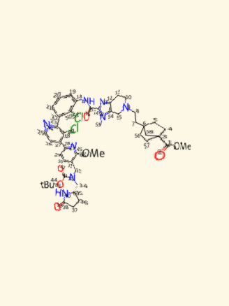 COC(=O)C12CCC(CCN3CCc4nc(C(=O)Nc5cccc(-c6nccc(-c7ccc(CN(C[C@@H]8CCC(=O)N8)C(=O)OC(C)(C)C)c(OC)n7)c6Cl)c5Cl)n(C)c4C3)(CC1)C2